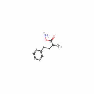 C=C(CCc1ccccc1)C(=O)ON